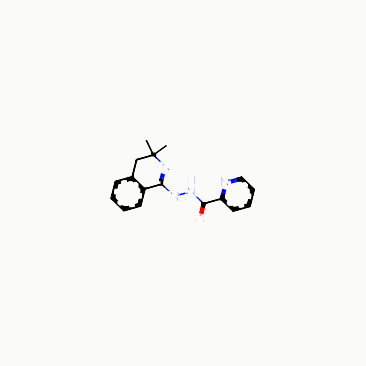 CC1(C)Cc2ccccc2C(NNC(=O)c2ccccn2)=N1